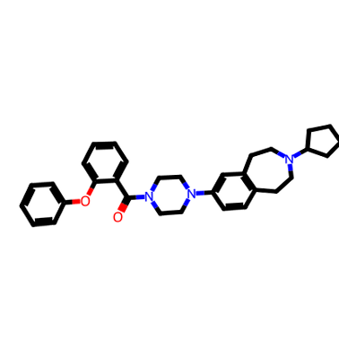 O=C(c1ccccc1Oc1ccccc1)N1CCN(c2ccc3c(c2)CCN(C2CCCC2)CC3)CC1